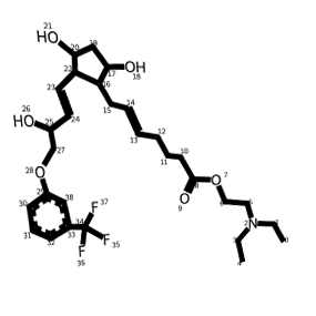 CCN(CC)CCOC(=O)CCCC=CCC1C(O)CC(O)C1C=CC(O)COc1cccc(C(F)(F)F)c1